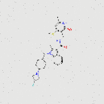 CSc1cc(C)[nH]c(=O)c1CNC(=O)c1c(C)n(C(C)C2CCC(N3CC(F)C3)CC2)c2ccccc12